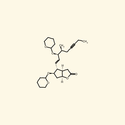 CCC#CC[C@H](C)[C@@H](C=C[C@@H]1[C@H]2CC(=O)O[C@H]2C[C@H]1OC1CCCCO1)OC1CCCCO1